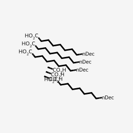 CC(=O)O.CC(=O)O.CC(=O)O.CCCCCCCCCCCCCCCCCC(=O)O.CCCCCCCCCCCCCCCCCC(=O)O.CCCCCCCCCCCCCCCCCC(=O)O.CCCCCCCCCCCCCCCCCC(=O)O